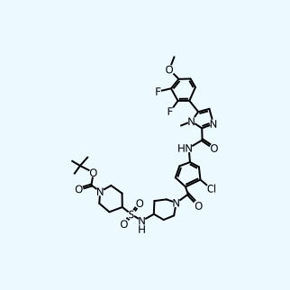 COc1ccc(-c2cnc(C(=O)Nc3ccc(C(=O)N4CCC(NS(=O)(=O)C5CCN(C(=O)OC(C)(C)C)CC5)CC4)c(Cl)c3)n2C)c(F)c1F